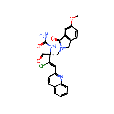 COc1ccc2c(c1)C(=O)N(C[C@](C=O)(NC(N)=O)/C(Cl)=C/c1ccc3ccccc3n1)C2